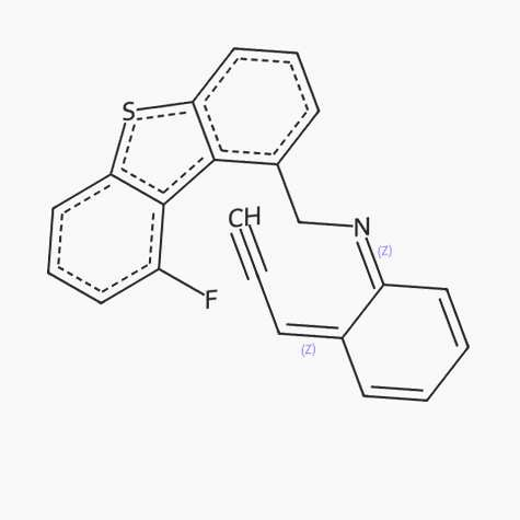 C#C/C=C1/C=CC=C/C1=N/Cc1cccc2sc3cccc(F)c3c12